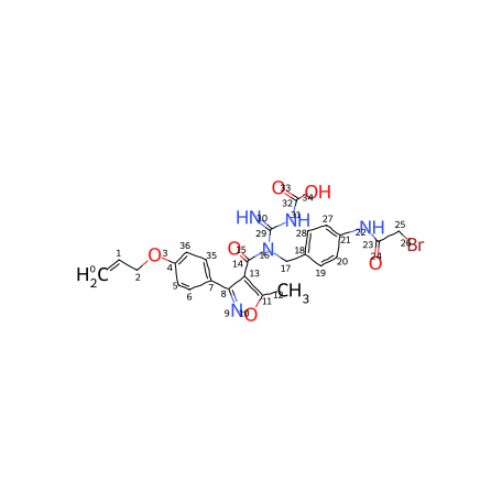 C=CCOc1ccc(-c2noc(C)c2C(=O)N(Cc2ccc(NC(=O)CBr)cc2)C(=N)NC(=O)O)cc1